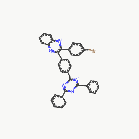 Brc1ccc(-c2nc3ccccc3nc2-c2ccc(-c3nc(-c4ccccc4)nc(-c4ccccc4)n3)cc2)cc1